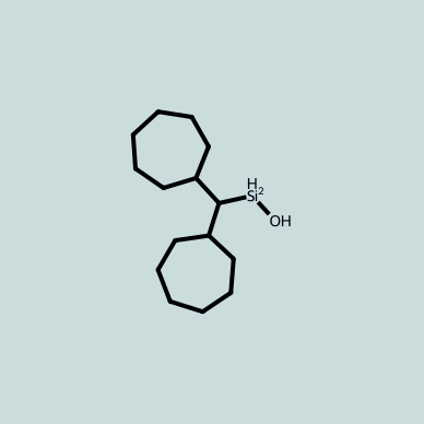 O[SiH2]C(C1CCCCCC1)C1CCCCCC1